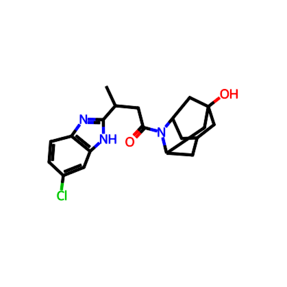 CC(CC(=O)N1C2CC3CC1CC(O)(C3)C2)c1nc2ccc(Cl)cc2[nH]1